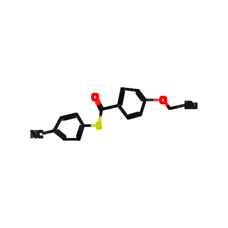 CCC(C)COc1ccc(C(=O)Sc2ccc(C#N)cc2)cc1